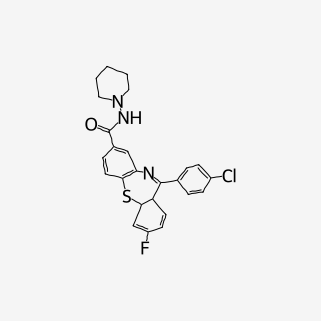 O=C(NN1CCCCC1)c1ccc2c(c1)N=C(c1ccc(Cl)cc1)C1C=CC(F)=CC1S2